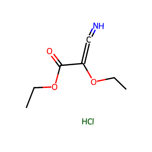 CCOC(=O)C(=C=N)OCC.Cl